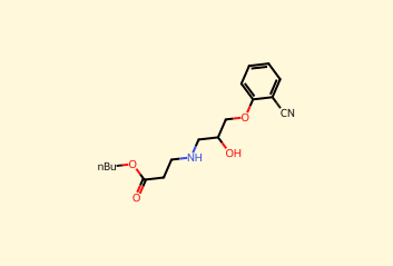 CCCCOC(=O)CCNCC(O)COc1ccccc1C#N